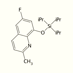 Cc1ccc2cc(F)cc(O[Si](C(C)C)(C(C)C)C(C)C)c2n1